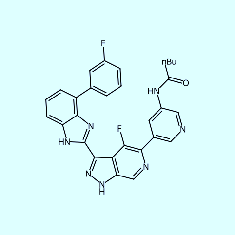 CCCCC(=O)Nc1cncc(-c2ncc3[nH]nc(-c4nc5c(-c6cccc(F)c6)cccc5[nH]4)c3c2F)c1